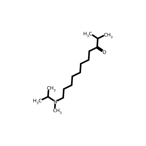 CC(C)C(=O)CCCCCCCCN(C)C(C)C